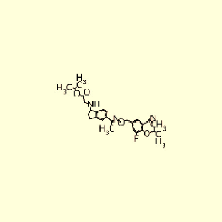 C/C(=N\OCc1cc(F)c(OC(C)C)c(C#N)c1)c1ccc2c(c1)CCC2NCC(=O)OC(C)C